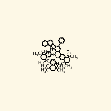 CC1(C)CCC(C)(C)c2cc(N3B4c5cc6c(cc5-n5c7c4c(cc(-c4ccccc4)c7c4ccc7ccccc7c45)-c4cc5c(cc43)C(C)(C)CCC5(C)C)C(C)(C)CCC6(C)C)ccc21